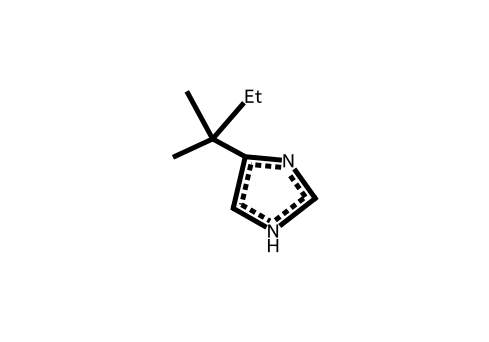 CCC(C)(C)c1c[nH]cn1